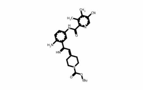 Cc1c(C#N)cnc(C(=O)Nc2ccc(N)c(C(=N)C=C3CCN(C(=O)OC(C)(C)C)CC3)c2)c1C